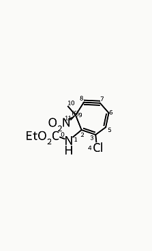 CCOC(=O)NC1=C(Cl)C=CC#C[C@]1(C)[N+](=O)[O-]